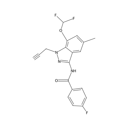 C#CCn1nc(NC(=O)c2ccc(F)cc2)c2cc(C)cc(OC(F)F)c21